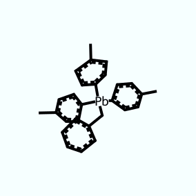 Cc1cc[c]([Pb]([CH2]c2ccccc2)([c]2ccc(C)cc2)[c]2ccc(C)cc2)cc1